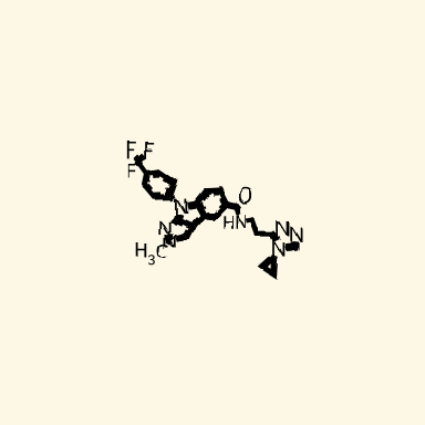 Cn1cc2c3cc(C(=O)NCCc4nncn4C4CC4)ccc3n(-c3ccc(C(F)(F)F)cc3)c2n1